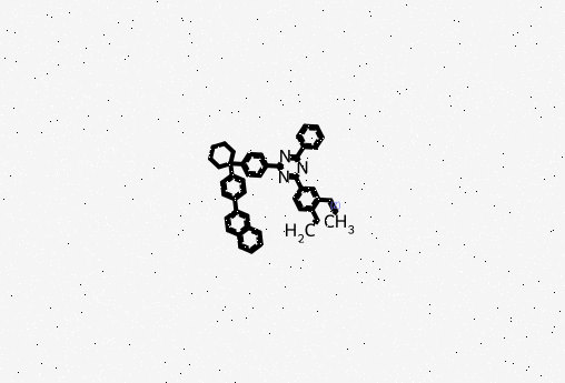 C=Cc1ccc(-c2nc(-c3ccccc3)nc(-c3ccc(C4(c5ccc(-c6ccc7ccccc7c6)cc5)CCCCC4)cc3)n2)cc1/C=C\C